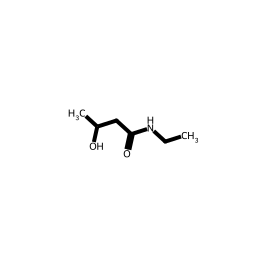 CCNC(=O)CC(C)O